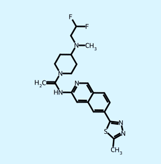 C=C(Nc1cc2cc(-c3nnc(C)s3)ccc2cn1)N1CCC(N(C)CC(F)F)CC1